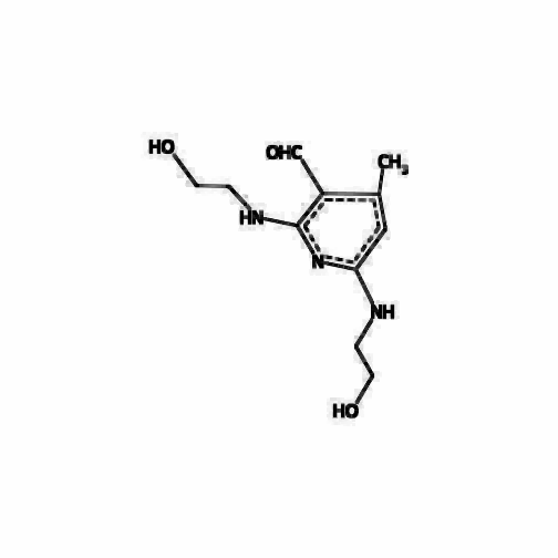 Cc1cc(NCCO)nc(NCCO)c1C=O